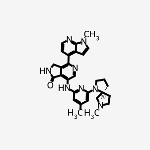 Cc1cc(Nc2cnc(-c3ccnc4c3ccn4C)c3c2C(=O)NC3)nc(N2CCC[C@@]23CCN(C)C3)c1